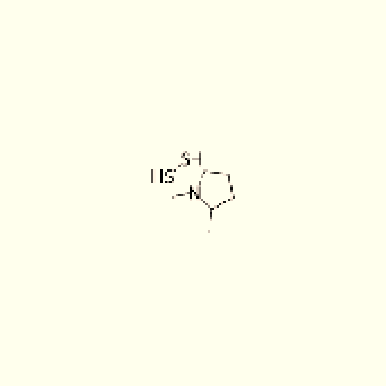 CC1CCCN1C.SS